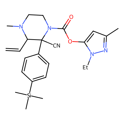 C=CC1N(C)CCN(C(=O)Oc2cc(C)nn2CC)C1(C#N)c1ccc([Si](C)(C)C)cc1